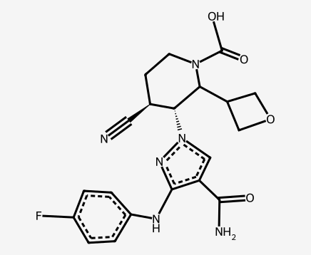 N#C[C@H]1CCN(C(=O)O)C(C2COC2)[C@@H]1n1cc(C(N)=O)c(Nc2ccc(F)cc2)n1